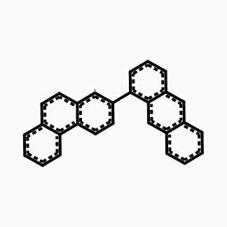 [c]1c(-c2cccc3cc4ccccc4cc23)ccc2c1ccc1ccccc12